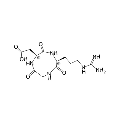 N=C(N)NCCC[C@@H]1NC(=O)[C@H](CC(=O)O)NC(=O)CNC1=O